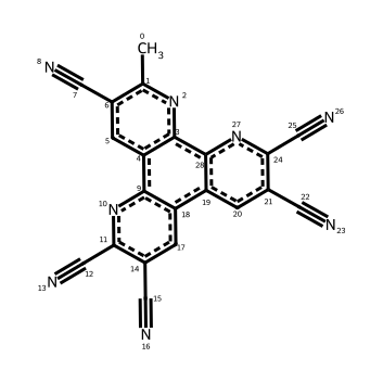 Cc1nc2c(cc1C#N)c1nc(C#N)c(C#N)cc1c1cc(C#N)c(C#N)nc12